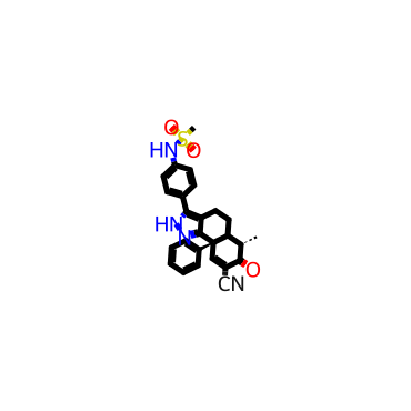 C[C@@H]1C(=O)C(C#N)=C[C@]2(c3ccccc3)c3n[nH]c(-c4ccc(NS(C)(=O)=O)cc4)c3CCC12